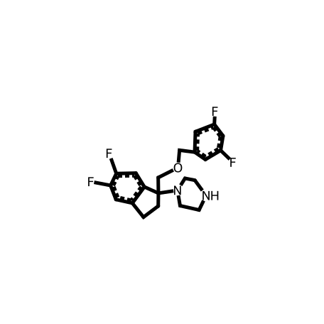 Fc1cc(F)cc(COCC2(N3CCNCC3)CCc3cc(F)c(F)cc32)c1